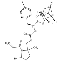 C=CC(=O)N1C(CC)CCC1(C)COC(=O)N[C@@H](Cc1ccc(F)cc1)B1O[C@@H]2C[C@@H]3C[C@@H](C3(C)C)[C@]2(C)O1